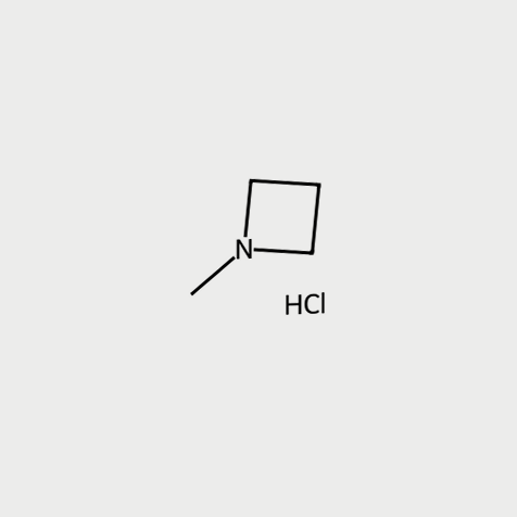 CN1CCC1.Cl